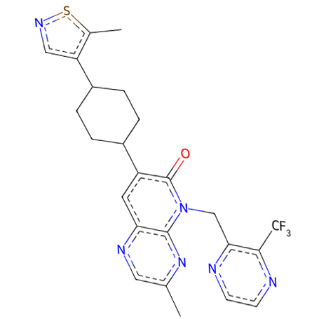 Cc1cnc2cc(C3CCC(c4cnsc4C)CC3)c(=O)n(Cc3nccnc3C(F)(F)F)c2n1